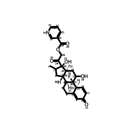 CC1C[C@H]2[C@@H]3CCC4=CC(=O)C=C[C@]4(C)[C@@]3(F)C(O)C[C@]2(C)[C@@]1(O)C(=O)COC(=O)c1cccnc1